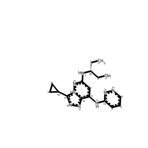 CC[C@H](CO)Nc1cc(Nc2cccnn2)c2nnc(C3CC3)n2n1